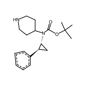 CC(C)(C)OC(=O)N(C1CCNCC1)[C@@H]1C[C@H]1c1ccccc1